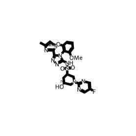 COc1cccc(OC)c1-n1c(NS(=O)(=O)C2C[C@H](O)CN(c3ncc(F)cn3)C2)nnc1-c1nc(C)cs1